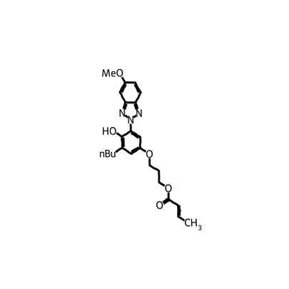 CC=CC(=O)OCCCOc1cc(CCCC)c(O)c(-n2nc3ccc(OC)cc3n2)c1